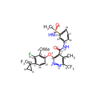 COc1c(Oc2nnc(C(F)(F)F)c(C)c2C(=O)Nc2cccc(S(C)(=N)=O)c2)ccc(C2(C(F)(F)F)CC2)c1F